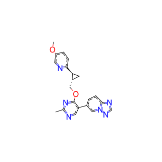 COc1ccc([C@H]2C[C@@H]2COc2nc(C)ncc2-c2ccc3ncnn3c2)nc1